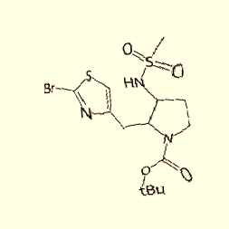 CC(C)(C)OC(=O)N1CCC(NS(C)(=O)=O)C1Cc1csc(Br)n1